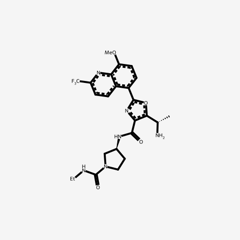 CCNC(=O)N1CC[C@H](NC(=O)c2nc(-c3ccc(OC)c4nc(C(F)(F)F)ccc34)oc2[C@H](C)N)C1